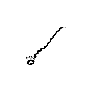 [CH2]CCCCCCCCCCCCCCCCC[CH]Nc1ccccc1